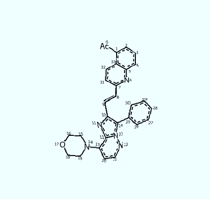 CC(=O)c1cccc2nc(/C=C/c3nc4c(N5CCOCC5)ccnn4c3-c3ccccc3)ccc12